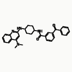 CN(C)c1cc(NC2CCC(NC(=O)c3cccc(C(=O)c4ccccc4)c3)CC2)nc2ccccc12